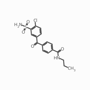 CCCNC(=O)c1ccc(C(=O)c2ccc(Cl)c(S(N)(=O)=O)c2)cc1